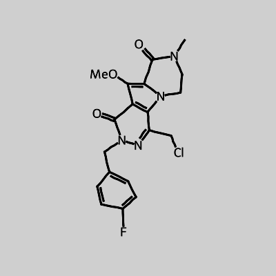 COc1c2n(c3c(CCl)nn(Cc4ccc(F)cc4)c(=O)c13)CCN(C)C2=O